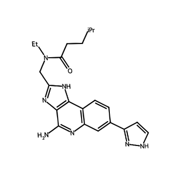 CCN(Cc1nc2c(N)nc3cc(-c4cc[nH]n4)ccc3c2[nH]1)C(=O)CCC(C)C